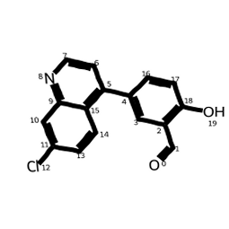 O=Cc1cc(-c2ccnc3cc(Cl)ccc23)ccc1O